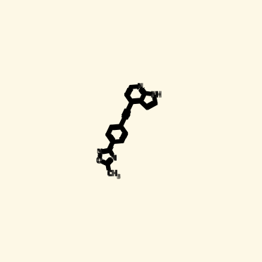 Cc1nc(-c2ccc(C#Cc3ccnc4[nH]ccc34)cc2)no1